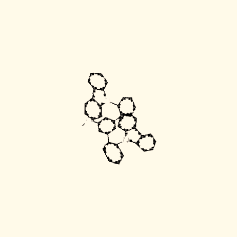 COc1cc(-c2ccccc2-n2c3ccccc3c3ccccc32)cc(-c2ccccc2-n2c3ccccc3c3ccccc32)c1